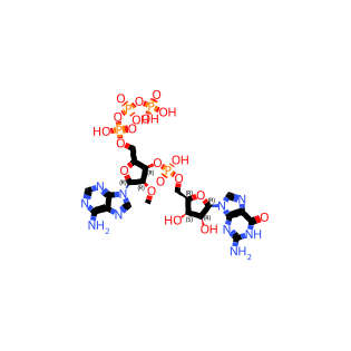 CO[C@@H]1[C@H](OP(=O)(O)OC[C@H]2O[C@@H](n3cnc4c(=O)[nH]c(N)nc43)[C@H](O)[C@@H]2O)C(COP(=O)(O)OP(=O)(O)OP(=O)(O)O)O[C@H]1n1cnc2c(N)ncnc21